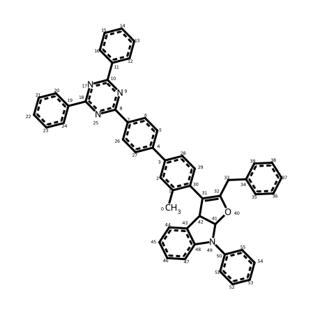 Cc1cc(-c2ccc(-c3nc(-c4ccccc4)nc(-c4ccccc4)n3)cc2)ccc1C1=C(Cc2ccccc2)OC2C1c1ccccc1N2c1ccccc1